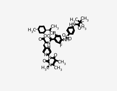 Cc1c(C)n(C)c(=O)n(-c2ccc(C[C@H](NC(=O)c3cc(F)c(NS(=O)(=O)c4ccc(NC(=O)C(C)(C)C)cc4)cc3F)C(=O)O[C@@H]3C[C@H](C)CC[C@H]3C(C)C)cn2)c1=O